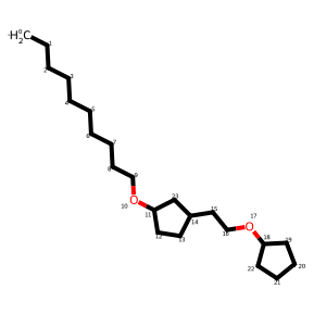 [CH2]CCCCCCCCCOC1CCC(CCOC2C[CH]CC2)C1